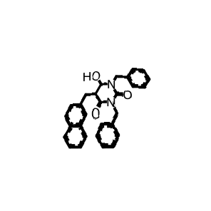 O=C1C(Cc2ccc3ccccc3c2)C(O)N(Cc2ccccc2)C(=O)N1Cc1ccccc1